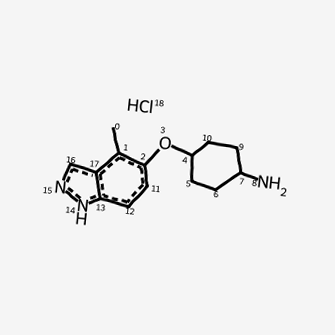 Cc1c(OC2CCC(N)CC2)ccc2[nH]ncc12.Cl